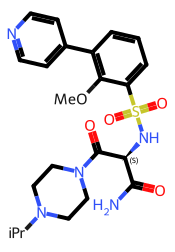 COc1c(-c2ccncc2)cccc1S(=O)(=O)N[C@@H](C(N)=O)C(=O)N1CCN(C(C)C)CC1